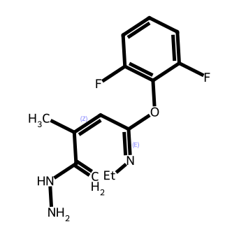 C=C(NN)/C(C)=C\C(=N/CC)Oc1c(F)cccc1F